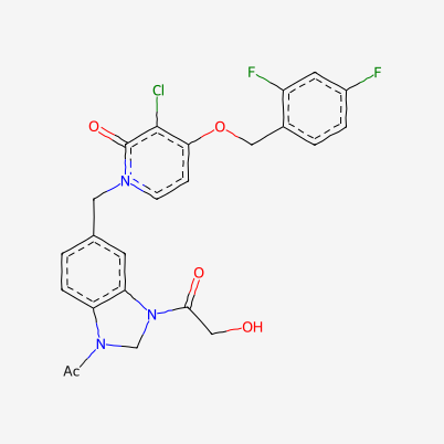 CC(=O)N1CN(C(=O)CO)c2cc(Cn3ccc(OCc4ccc(F)cc4F)c(Cl)c3=O)ccc21